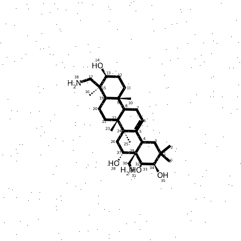 CC1(C)CC2C3=CCC4[C@@]5(C)CC[C@H](O)[C@](C)(CN)C5CC[C@@]4(C)[C@]3(C)C[C@@H](O)[C@@]2(CN)[C@@H](O)[C@@H]1O